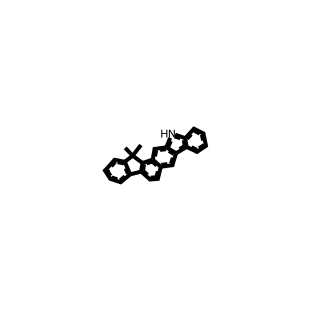 CC1(C)c2ccccc2-c2ccc3cc4c(cc3c21)[nH]c1ccccc14